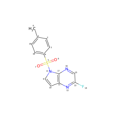 Cc1ccc(S(=O)(=O)n2ccc3nc(F)cnc32)cc1